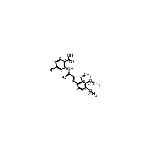 COc1ccc(C=CC(=O)Nc2cc(F)ccc2C(=O)O)c(OC)c1OC